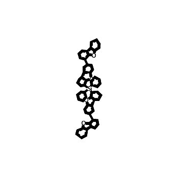 c1ccc([Si](c2ccccc2)(c2cccc3c2oc2ccc(-c4cccc5c4oc4ccccc45)cc23)c2cccc3c2oc2ccc(-c4cccc5c4oc4ccccc45)cc23)cc1